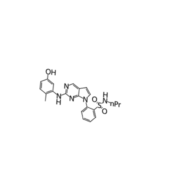 CCCNS(=O)(=O)c1ccccc1-n1ccc2cnc(Nc3cc(O)ccc3C)nc21